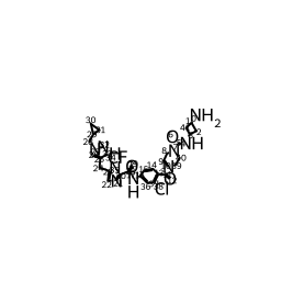 NC1CC(NC(=O)N2CCN(C(=O)c3ccc(NC(=O)c4ncc(Cc5cn(CC6CC6)nc5C(F)(F)F)[nH]4)cc3Cl)CC2)C1